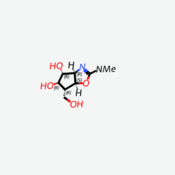 CNC1=N[C@@H]2[C@@H](O)[C@H](O)[C@@H](CO)[C@@H]2O1